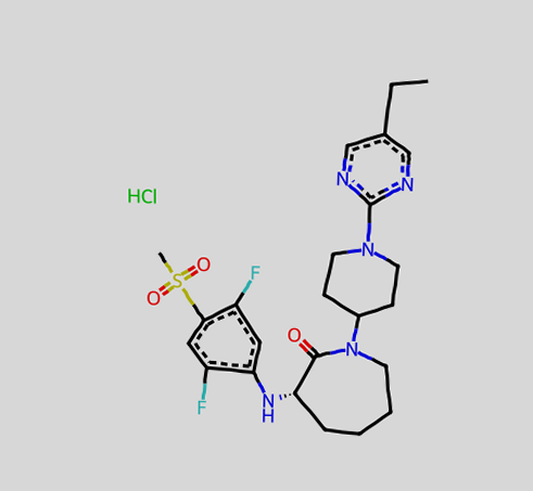 CCc1cnc(N2CCC(N3CCCC[C@H](Nc4cc(F)c(S(C)(=O)=O)cc4F)C3=O)CC2)nc1.Cl